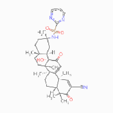 CC1(C)C(=O)C(C#N)=C[C@]2(C)C3=CC(=O)[C@]4(O)[C@@H]5C[C@@](C)(NS(=O)(=O)c6ncccn6)CC[C@@]5(C)CC[C@@]4(C)[C@]3(C)CC[C@@H]12